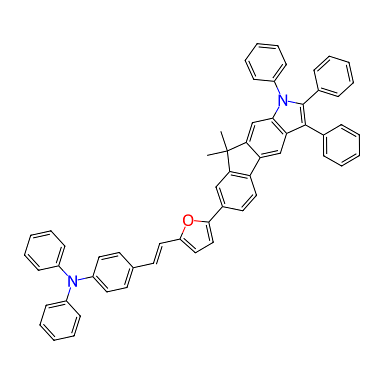 CC1(C)c2cc(-c3ccc(/C=C/c4ccc(N(c5ccccc5)c5ccccc5)cc4)o3)ccc2-c2cc3c(-c4ccccc4)c(-c4ccccc4)n(-c4ccccc4)c3cc21